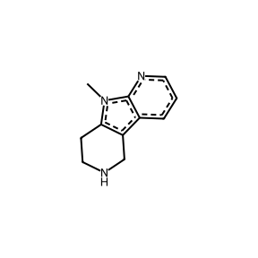 Cn1c2c(c3cccnc31)CNCC2